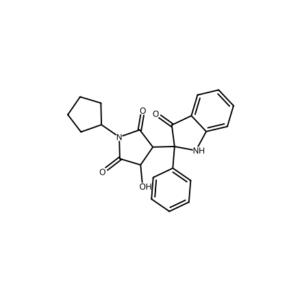 O=C1C(O)C(C2(c3ccccc3)Nc3ccccc3C2=O)C(=O)N1C1CCCC1